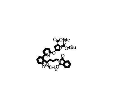 COC(=O)[C@@H]1C[C@H](Oc2cccc(-c3cccc4nn(C)c(CCCN5C(=O)c6ccccc6C5=O)c34)n2)CN1C(=O)OC(C)(C)C